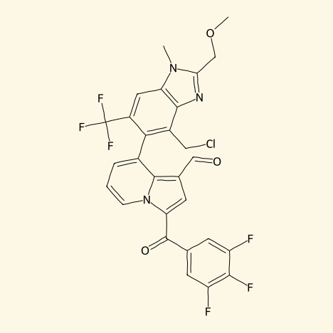 COCc1nc2c(CCl)c(-c3cccn4c(C(=O)c5cc(F)c(F)c(F)c5)cc(C=O)c34)c(C(F)(F)F)cc2n1C